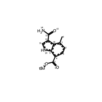 Cc1ccc(C(=O)OC(C)(C)C)c2[nH]cc(C(N)=O)c12